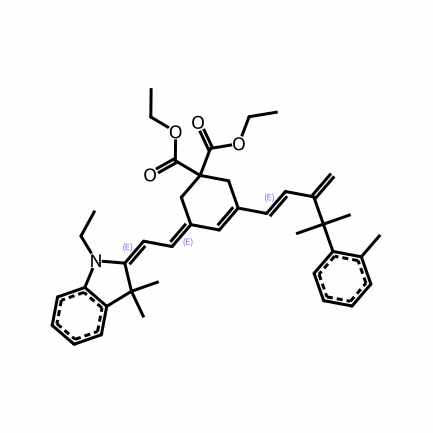 C=C(/C=C/C1=CC(=C/C=C2/N(CC)c3ccccc3C2(C)C)/CC(C(=O)OCC)(C(=O)OCC)C1)C(C)(C)c1ccccc1C